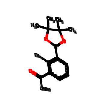 CCc1c(B2OC(C)(C)C(C)(C)O2)cccc1C(=O)OC